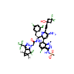 Cn1nc(NS(C)(=O)=O)c2c(Cl)ccc(-c3cc(N)c(C#CC4(O)CC(F)(F)C4)nc3[C@H](Cc3cc(F)cc(F)c3)NC(=O)Cn3nc(C(F)(F)F)c4c3C(F)(F)[C@@H]3C[C@H]43)c21